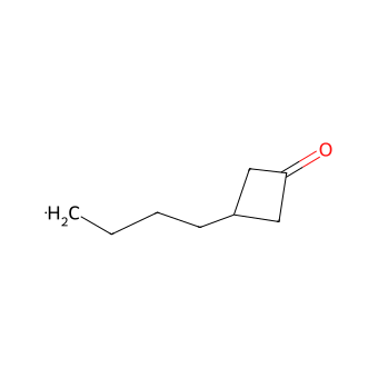 [CH2]CCCC1CC(=O)C1